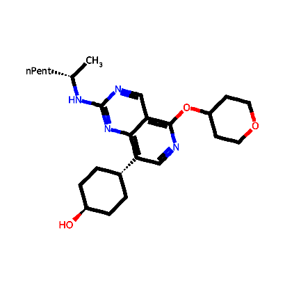 CCCCC[C@H](C)Nc1ncc2c(OC3CCOCC3)ncc([C@H]3CC[C@H](O)CC3)c2n1